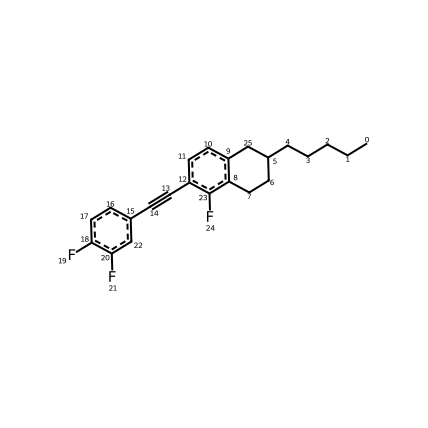 CCCCCC1CCc2c(ccc(C#Cc3ccc(F)c(F)c3)c2F)C1